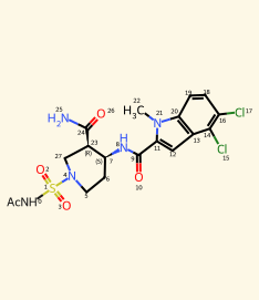 CC(=O)NS(=O)(=O)N1CC[C@H](NC(=O)c2cc3c(Cl)c(Cl)ccc3n2C)[C@H](C(N)=O)C1